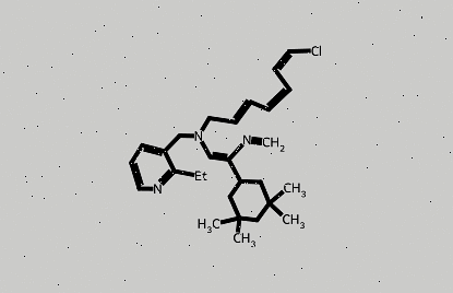 C=N/C(=C\N(C/C=C/C=C\C=C/Cl)Cc1cccnc1CC)C1CC(C)(C)CC(C)(C)C1